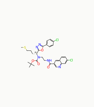 CSCCC[C@H](c1nnc(-c2ccc(Cl)cc2)o1)N(CCNC(=O)c1cnc2cc(Cl)ccc2c1)C(=O)OC(C)(C)C